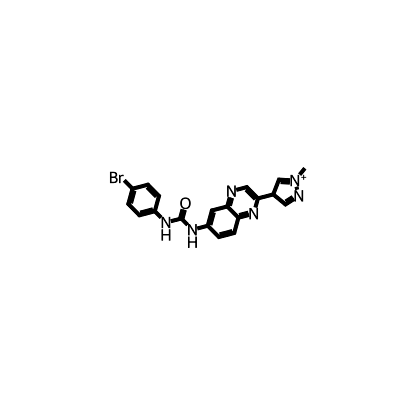 C[N+]1=CC(c2cnc3cc(NC(=O)Nc4ccc(Br)cc4)ccc3n2)C=N1